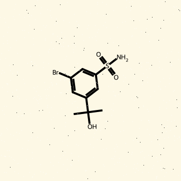 CC(C)(O)c1cc(Br)cc(S(N)(=O)=O)c1